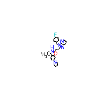 CC(NC(=O)CCc1nc2cccnc2n1Cc1ccc(F)cc1)c1ccc(N2CCCC2)cc1